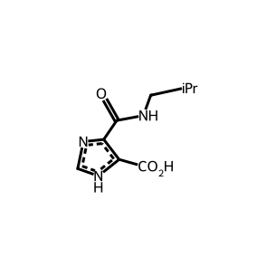 CC(C)CNC(=O)c1nc[nH]c1C(=O)O